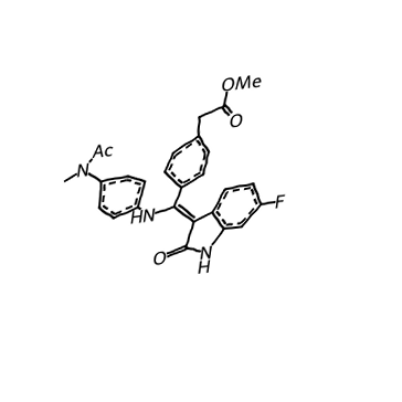 COC(=O)Cc1ccc(/C(Nc2ccc(N(C)C(C)=O)cc2)=C2/C(=O)Nc3cc(F)ccc32)cc1